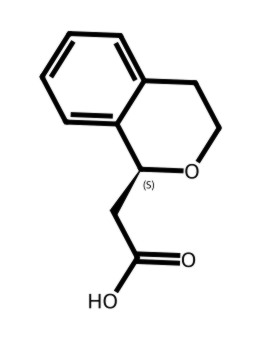 O=C(O)C[C@@H]1OCCc2ccccc21